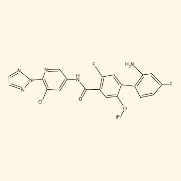 CC(C)Oc1cc(C(=O)Nc2cnc(-n3nccn3)c(Cl)c2)c(F)cc1-c1ccc(F)cc1N